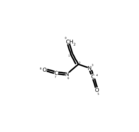 C=C=C(N=C=O)N=C=O